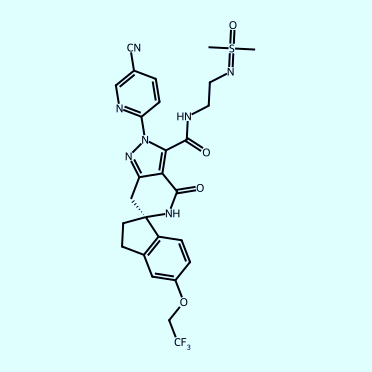 CS(C)(=O)=NCCNC(=O)c1c2c(nn1-c1ccc(C#N)cn1)C[C@]1(CCc3cc(OCC(F)(F)F)ccc31)NC2=O